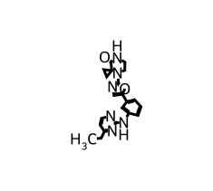 CCc1ccnc(Nc2cccc(-c3cnc(N4CCNC(=O)C45CC5)o3)c2)n1